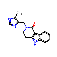 Cc1[nH]cnc1CN1CCc2[nH]c3ccccc3c2C1=O